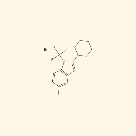 Cc1ccc2c(c1)cc(C1CCCCC1)[s+]2C(F)(F)F.[Br-]